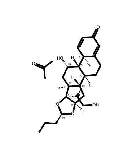 CC(C)=O.CCC[C@@H]1O[C@@H]2C[C@H]3[C@@H]4CCC5=CC(=O)C=C[C@]5(C)[C@H]4[C@@H](O)C[C@]3(C)[C@]2(C(=O)CO)O1